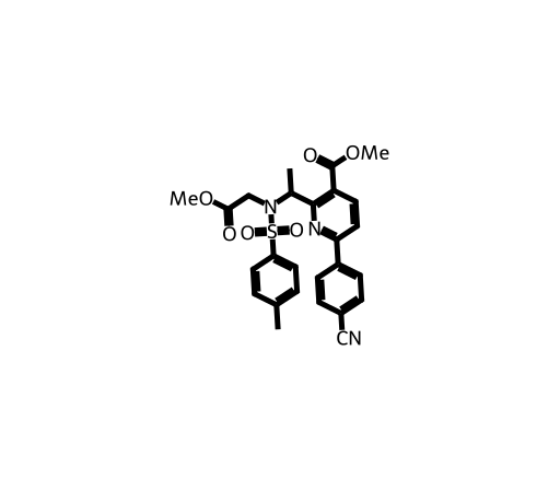 COC(=O)CN(C(C)c1nc(-c2ccc(C#N)cc2)ccc1C(=O)OC)S(=O)(=O)c1ccc(C)cc1